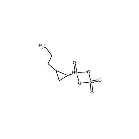 CCCC1C[C@@H]1[SH]1(=O)OS(=O)(=O)O1